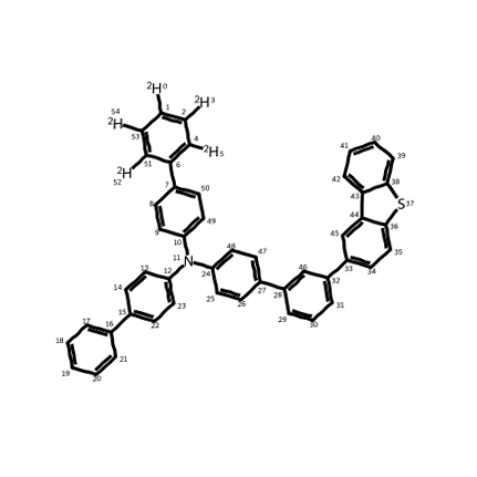 [2H]c1c([2H])c([2H])c(-c2ccc(N(c3ccc(-c4ccccc4)cc3)c3ccc(-c4cccc(-c5ccc6sc7ccccc7c6c5)c4)cc3)cc2)c([2H])c1[2H]